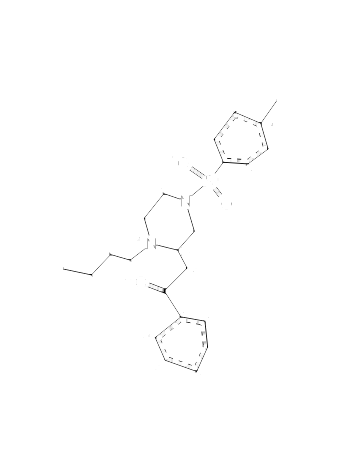 CCCCN1CCN(S(=O)(=O)c2ccc(C)cc2)CC1CC(=O)c1ccccc1